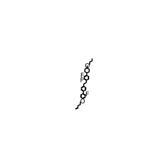 C=CCCCOc1ccc(-c2ccc(CCc3ccc(C4CCC(OCCCC)CC4)c(F)c3F)cc2)c(F)c1